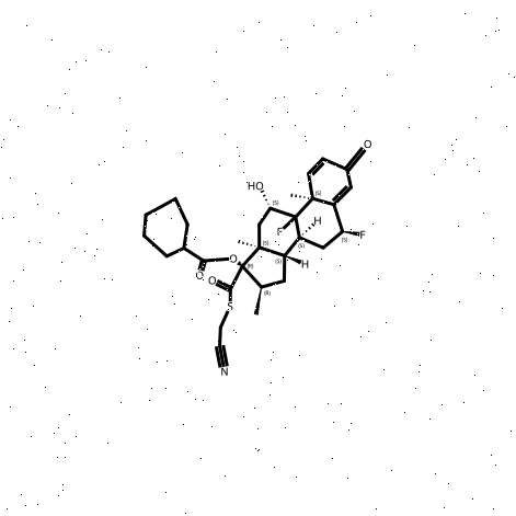 C[C@@H]1C[C@H]2[C@@H]3C[C@H](F)C4=CC(=O)C=C[C@]4(C)C3(F)[C@@H](O)C[C@]2(C)[C@@]1(OC(=O)C1CCCCC1)C(=O)SCC#N